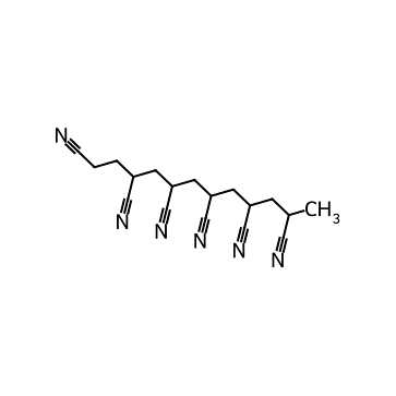 CC(C#N)CC(C#N)CC(C#N)CC(C#N)CC(C#N)CCC#N